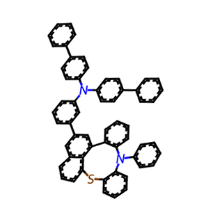 c1ccc(-c2ccc(N(c3ccc(-c4ccccc4)cc3)c3cccc(-c4cc5c6c(cccc6c4)Sc4ccccc4N(c4ccccc4)c4ccccc4-5)c3)cc2)cc1